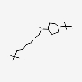 CN(CCCCCCC(C)(C)C)C1CCN(C(C)(C)C)CC1